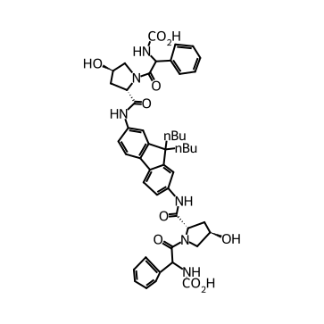 CCCCC1(CCCC)c2cc(NC(=O)[C@@H]3C[C@@H](O)CN3C(=O)C(NC(=O)O)c3ccccc3)ccc2-c2ccc(NC(=O)[C@@H]3C[C@@H](O)CN3C(=O)C(NC(=O)O)c3ccccc3)cc21